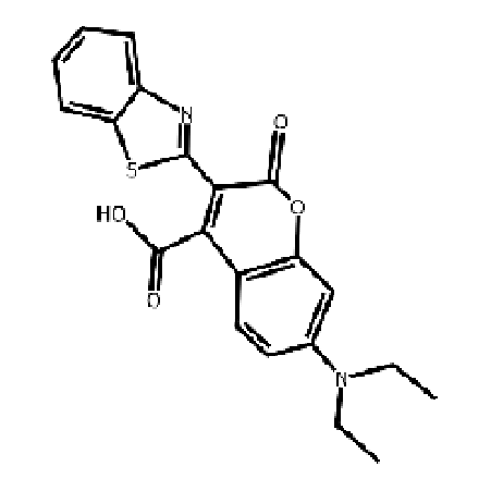 CCN(CC)c1ccc2c(C(=O)O)c(-c3nc4ccccc4s3)c(=O)oc2c1